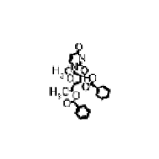 C[C@@H](OC(=O)c1ccccc1)[C@H]1O[C@]2(C)[C@@H](Oc3nc(=O)ccn32)[C@@H]1OC(=O)c1ccccc1